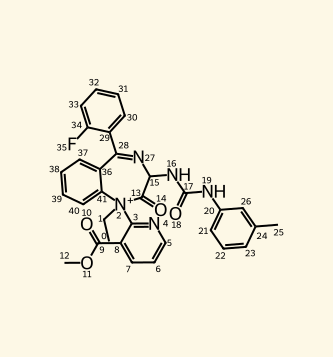 CC[N+]1(c2ncccc2C(=O)OC)C(=O)C(NC(=O)Nc2cccc(C)c2)N=C(c2ccccc2F)c2ccccc21